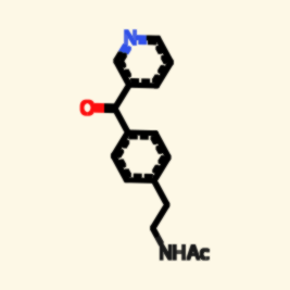 CC(=O)NCCc1ccc(C(=O)c2cccnc2)cc1